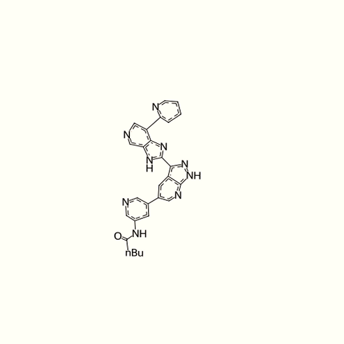 CCCCC(=O)Nc1cncc(-c2cnc3[nH]nc(-c4nc5c(-c6ccccn6)cncc5[nH]4)c3c2)c1